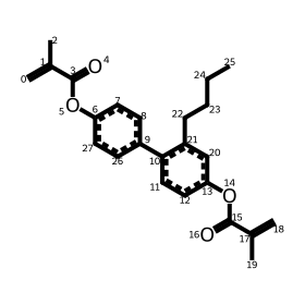 C=C(C)C(=O)Oc1ccc(-c2ccc(OC(=O)C(=C)C)cc2CCCC)cc1